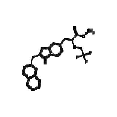 COC(=O)C(Cc1ccc2[nH]c(Cc3ccc4ccccc4c3)cc2c1)OCC(F)(F)F